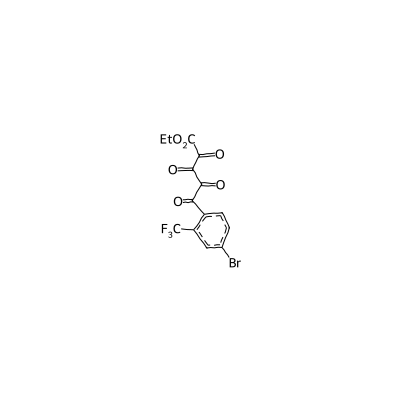 CCOC(=O)C(=O)C(=O)C(=O)C(=O)c1ccc(Br)cc1C(F)(F)F